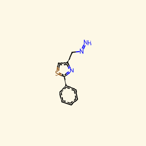 N=NCc1csc(-c2ccccc2)n1